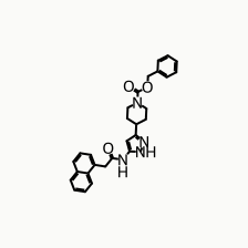 O=C(Cc1cccc2ccccc12)Nc1cc(C2CCN(C(=O)OCc3ccccc3)CC2)n[nH]1